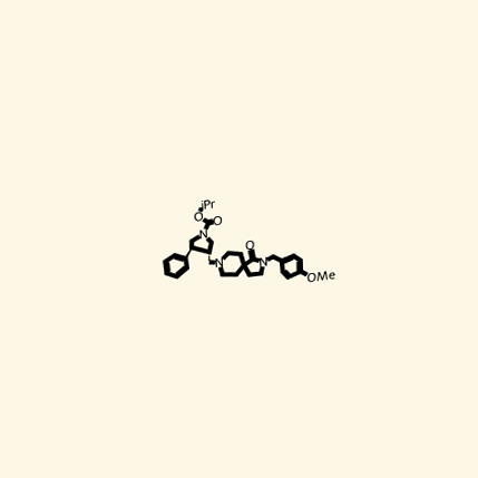 COc1ccc(CN2CCC3(CCN(C[C@H]4CN(C(=O)OC(C)C)C[C@@H]4c4ccccc4)CC3)C2=O)cc1